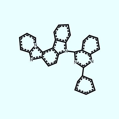 c1ccc(-c2nc(-n3c4ccccc4c4c3ccc3nc5ccccn5c34)c3ccccc3n2)cc1